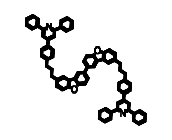 C1=CCC(C2CC(C3=CC=C(CCCc4ccc5oc6ccc(-c7ccc8oc9ccc(CCCc%10ccc(-c%11cc(-c%12ccccc%12)nc(-c%12ccccc%12)c%11)cc%10)cc9c8c7)cc6c5c4)CC3)=CC(C3=CCCC=C3)=N2)C=C1